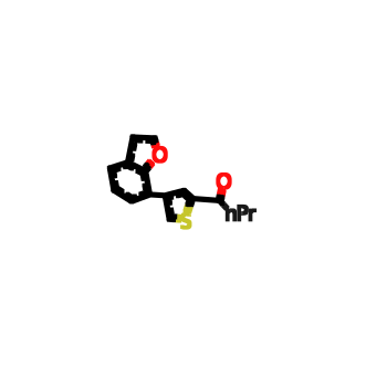 CCCC(=O)c1cc(-c2cccc3ccoc23)cs1